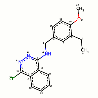 CCc1cc(CNc2nnc(Cl)c3ccccc23)ccc1OC